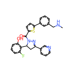 CNCc1cccc(-c2ccc(C(=O)N3N=C(c4cccnc4)CC3c3c(O)cccc3F)s2)c1